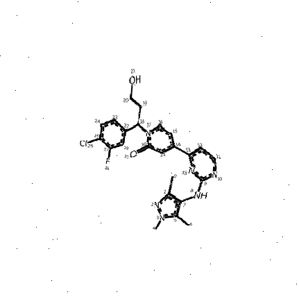 Cc1nn(C)c(C)c1Nc1nccc(-c2ccn([C@H](CCO)c3ccc(Cl)c(F)c3)c(=O)c2)n1